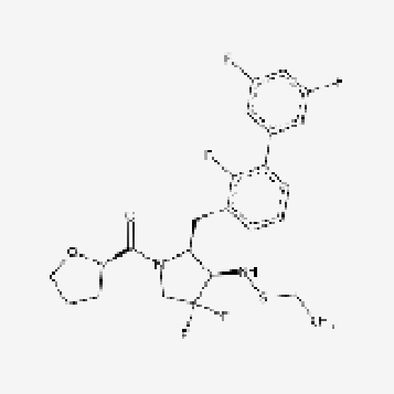 CCSN[C@@H]1[C@H](Cc2cccc(-c3cc(F)cc(F)c3)c2F)N(C(=O)[C@H]2CCCO2)CC1(F)F